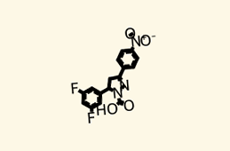 O=C(O)N1N=C(c2ccc([N+](=O)[O-])cc2)CC1c1cc(F)cc(F)c1